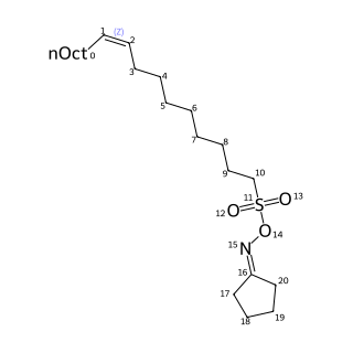 CCCCCCCC/C=C\CCCCCCCCS(=O)(=O)ON=C1CCCC1